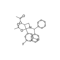 CC(=O)OC1CN(C(c2ccccc2)c2ccccc2)C1(OC(C)=O)c1cc(F)cc(F)c1